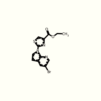 CCOC(=O)c1csc(-n2ccc3cc(Br)cnc32)n1